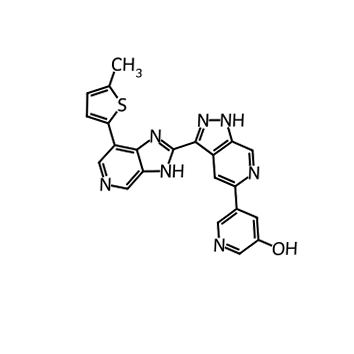 Cc1ccc(-c2cncc3[nH]c(-c4n[nH]c5cnc(-c6cncc(O)c6)cc45)nc23)s1